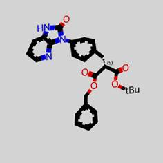 CC(C)(C)OC(=O)[C@@H](Cc1ccc(-n2c(=O)[nH]c3cccnc32)cc1)C(=O)OCc1ccccc1